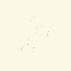 CC(c1ccccc1OC#N)c1ccccc1OC#N